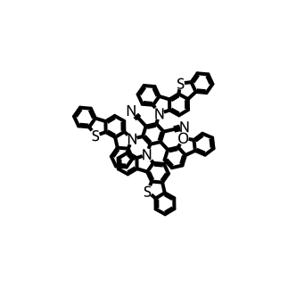 N#Cc1c(-c2cccc3c2oc2ccccc23)c(-n2c3ccccc3c3c4sc5ccccc5c4ccc32)c(-n2c3ccccc3c3c4sc5ccccc5c4ccc32)c(C#N)c1-n1c2ccccc2c2c3sc4ccccc4c3ccc21